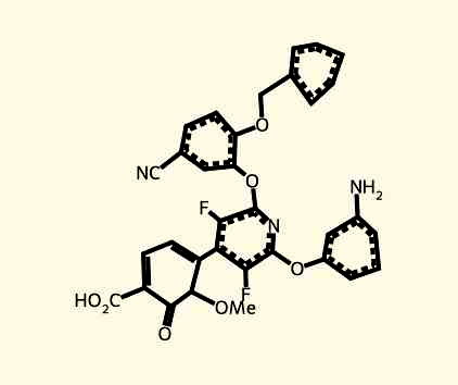 COC1C(=O)C(C(=O)O)=CC=C1c1c(F)c(Oc2cccc(N)c2)nc(Oc2cc(C#N)ccc2OCc2ccccc2)c1F